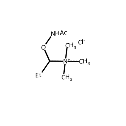 CCC(ONC(C)=O)[N+](C)(C)C.[Cl-]